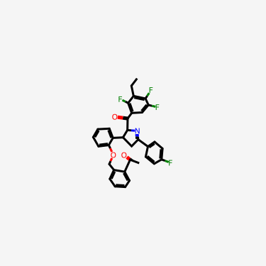 CCc1c(F)c(F)cc(C(=O)C2N=C(c3ccc(F)cc3)CC2c2ccccc2OCc2ccccc2C(C)=O)c1F